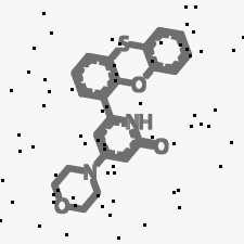 O=c1cc(N2CCOCC2)cc(-c2cccc3c2Oc2ccccc2S3)[nH]1